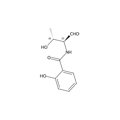 C[C@@H](O)[C@@H]([C]=O)NC(=O)c1ccccc1O